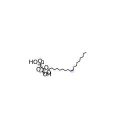 CCCCCCCC/C=C\CCCCCCCC(=O)O[C@@H]1[C@@H](O)CO[C@@H]1[C@]1(CO)CCO1